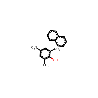 Cc1cc([N+](=O)[O-])cc([N+](=O)[O-])c1O.c1ccc2ccccc2c1